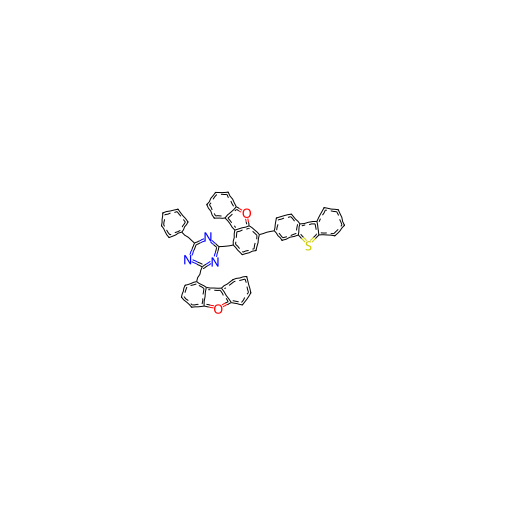 c1ccc(-c2nc(-c3cccc4oc5ccccc5c34)nc(-c3ccc(-c4ccc5c(c4)sc4ccccc45)c4oc5ccccc5c34)n2)cc1